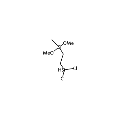 CO[Si](C)(CC[SiH](Cl)Cl)OC